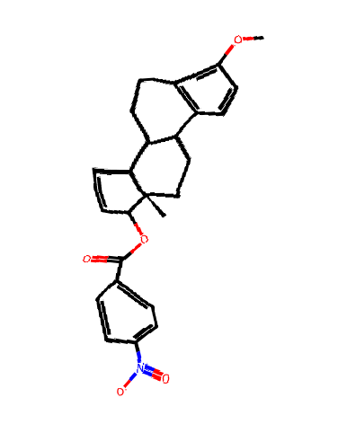 COc1ccc2c(c1)CCC1C2CC[C@]2(C)C(OC(=O)c3ccc([N+](=O)[O-])cc3)C=CC12